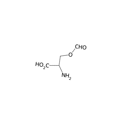 NC(COC=O)C(=O)O